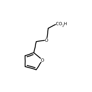 O=C(O)COCc1ccco1